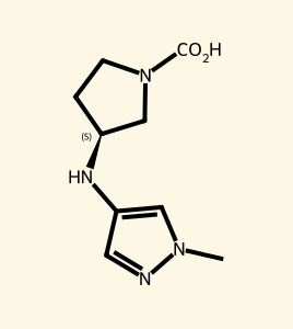 Cn1cc(N[C@H]2CCN(C(=O)O)C2)cn1